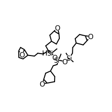 C[SiH](O[Si](C)(CCC1CCC2OC2C1)O[Si](C)(C)CCC1CCC2OC2C1)[C@@H](CCCC1CCC2CC1O2)CC1CCC2OC2C1